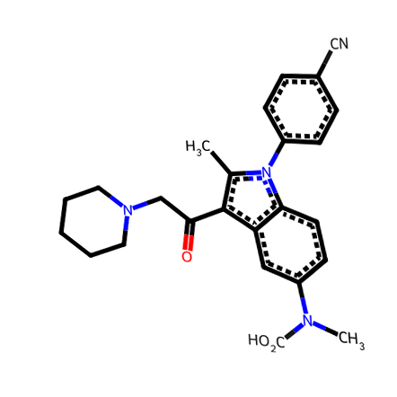 Cc1c(C(=O)CN2CCCCC2)c2cc(N(C)C(=O)O)ccc2n1-c1ccc(C#N)cc1